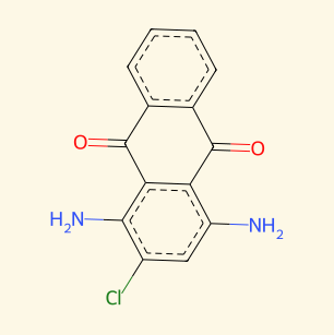 Nc1cc(Cl)c(N)c2c1C(=O)c1ccccc1C2=O